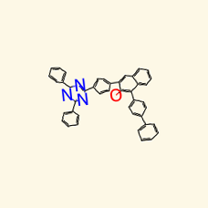 c1ccc(-c2ccc(-c3c4ccccc4cc4c3oc3cc(-c5nc(-c6ccccc6)nc(-c6ccccc6)n5)ccc34)cc2)cc1